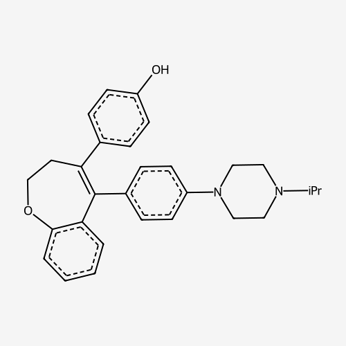 CC(C)N1CCN(c2ccc(C3=C(c4ccc(O)cc4)CCOc4ccccc43)cc2)CC1